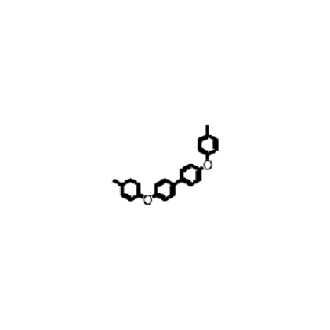 Cc1ccc(Oc2ccc(-c3ccc(OC4=CCC(C)C=C4)cc3)cc2)cc1